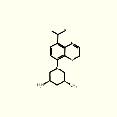 C[C@H]1C[C@@H](N)CN(c2ccc(C(F)F)c3c2NCC=N3)C1